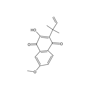 C=CC(C)(C)C1=C(O)C(=O)c2cc(OC)ccc2C1=O